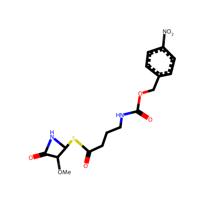 COC1C(=O)NC1SC(=O)CCCNC(=O)OCc1ccc([N+](=O)[O-])cc1